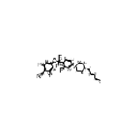 CCC=CC[C@H]1CC[C@H](c2ccc(C(F)(F)Oc3cc(F)c(C#N)c(F)c3)c(F)c2)CC1